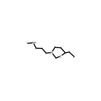 CCC1CCN(CCCNC)CC1